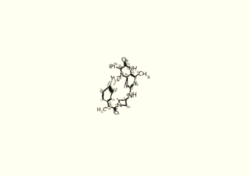 Cc1nc(NC2CN(C(=O)[C@H](C)c3ccccc3)C2)nc2c1NC(=O)[C@H](C(C)C)N2C